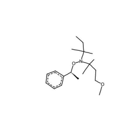 CCC(C)(C)N(O[C@@H](C)c1ccccc1)C(C)(C)CCOC